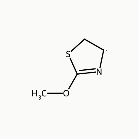 COC1=N[CH]CS1